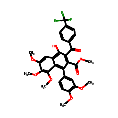 COC(=O)c1c(C(=O)c2ccc(C(F)(F)F)cc2)c(O)c2cc(OC)c(OC)c(OC)c2c1-c1ccc(OC)c(OC)c1